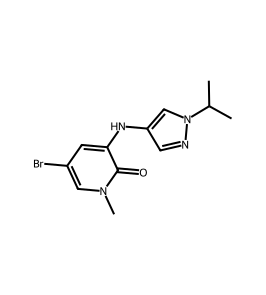 CC(C)n1cc(Nc2cc(Br)cn(C)c2=O)cn1